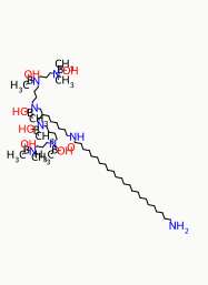 CB(O)N(C)CCCN(CCCCN(CC(CCCCCCNC(=O)CCCCCCCCCCCCCCCCCCCCCCCN)CN(CCCCN(CCCN(C)B(C)O)B(C)O)B(C)O)B(C)O)B(C)O